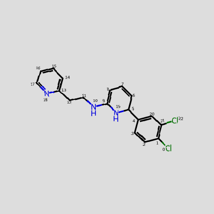 Clc1ccc(C2C=C[C]=C(NCCc3ccccn3)N2)cc1Cl